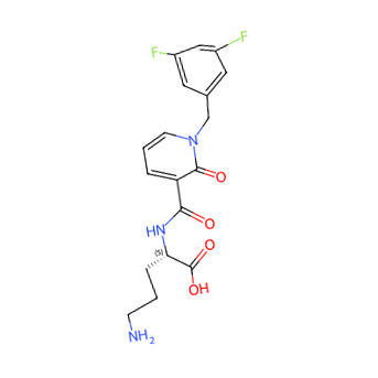 NCCC[C@H](NC(=O)c1cccn(Cc2cc(F)cc(F)c2)c1=O)C(=O)O